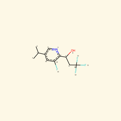 CC(C)c1cnc(C(O)CC(F)(F)F)c(F)c1